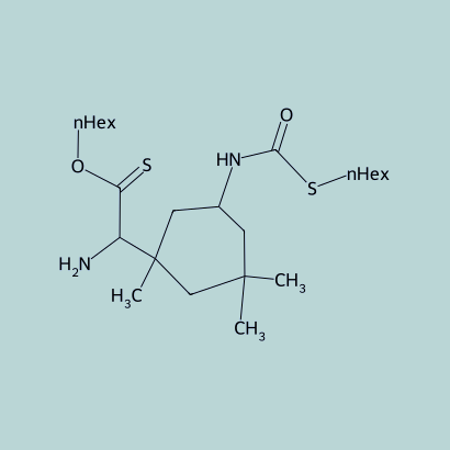 CCCCCCOC(=S)C(N)C1(C)CC(NC(=O)SCCCCCC)CC(C)(C)C1